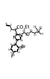 C=CCC(C(=O)OCC)c1nc(-c2ccc(F)cc2Br)cn1COCC[Si](C)(C)C